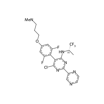 CNCCCOc1cc(F)c(-c2c(Cl)nc(-c3cnccn3)nc2N[C@@H](C)C(F)(F)F)c(F)c1